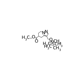 CCOC(=O)C1CCn2ncc(CO[Si](C)(C)C(C)(C)C)c2C1